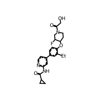 CCc1cc(-c2ccnc(NC(=O)C3CC3)c2)ccc1OC1CCN(C(=O)CO)CC1F